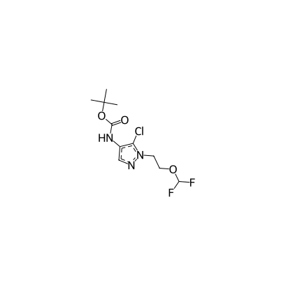 CC(C)(C)OC(=O)Nc1cnn(CCOC(F)F)c1Cl